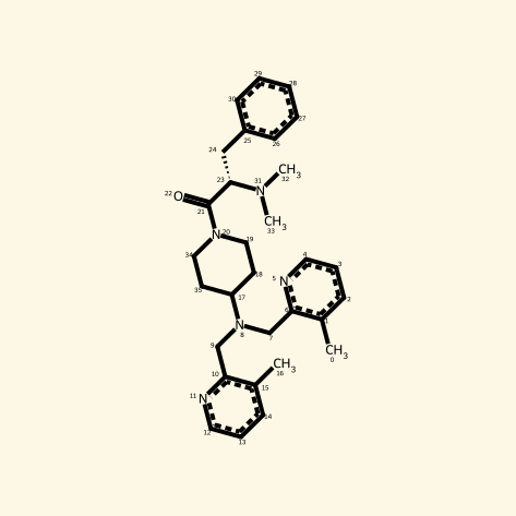 Cc1cccnc1CN(Cc1ncccc1C)C1CCN(C(=O)[C@H](Cc2ccccc2)N(C)C)CC1